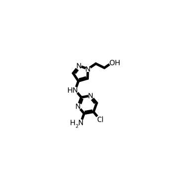 Nc1nc(Nc2cnn(CCO)c2)ncc1Cl